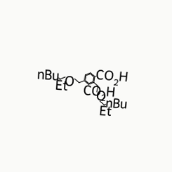 CCCCC(CC)COCCc1ccc(C(=O)O)c(CCOCC(CC)CCCC)c1C(=O)O